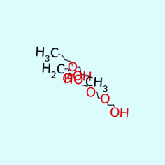 C=CC(=O)O.CCCCOCCCC.OCCOCCOCCO